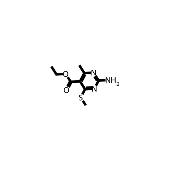 CCOC(=O)c1c(C)nc(N)nc1SC